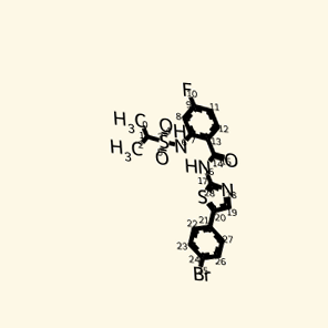 CC(C)S(=O)(=O)Nc1cc(F)ccc1C(=O)Nc1ncc(-c2ccc(Br)cc2)s1